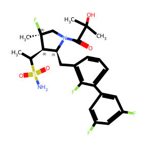 CC([C@@H]1[C@H](Cc2cccc(-c3cc(F)cc(F)c3)c2F)N(C(=O)C(C)(C)O)C[C@]1(C)F)S(N)(=O)=O